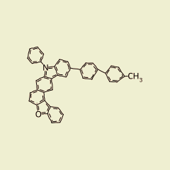 Cc1ccc(-c2ccc(-c3ccc4c(c3)c3cc5c(ccc6oc7ccccc7c65)cc3n4-c3ccccc3)cc2)cc1